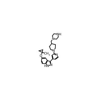 CC1(Oc2ccc3[nH]nc(-c4ccnc(N5CCC(CN6CCNCC6)CC5)c4)c3c2)CC1